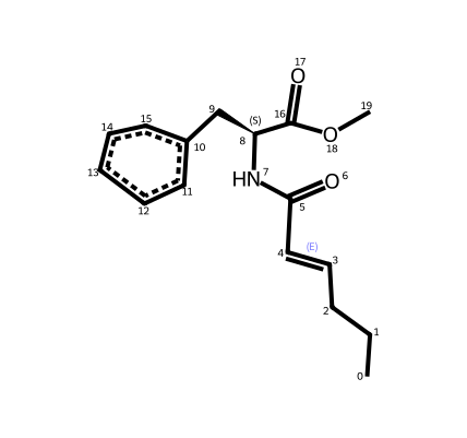 CCC/C=C/C(=O)N[C@@H](Cc1ccccc1)C(=O)OC